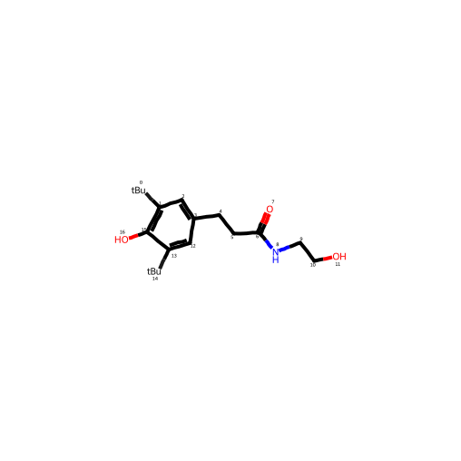 CC(C)(C)c1cc(CCC(=O)NCCO)cc(C(C)(C)C)c1O